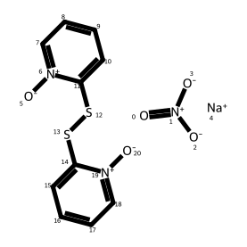 O=[N+]([O-])[O-].[Na+].[O-][n+]1ccccc1SSc1cccc[n+]1[O-]